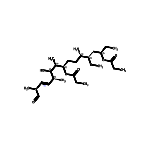 CCC(=O)O[C@H](CC)C[C@H](OC)[C@@H](N)CC[C@@H](OC(=O)CC)[C@H](C)[C@H](O)[C@H](C)/C=C/N(C)C=O